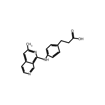 Cc1cc2ccncc2c(Nc2ccc(CCC(=O)O)cc2)n1